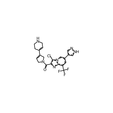 O=C(c1nc2c(C(F)(F)F)cc(-c3cn[nH]c3)cn2c1Cl)N1CC=C(C2=CCNCC2)C1